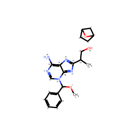 C1CC2CC1O2.COC(c1ccccc1)n1cnc(N)c2nc(C(C)CO)nc1-2